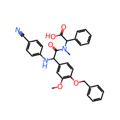 COc1cc(C(Nc2ccc(C#N)cc2)C(=O)N(C)C(C(=O)O)c2ccccc2)ccc1OCc1ccccc1